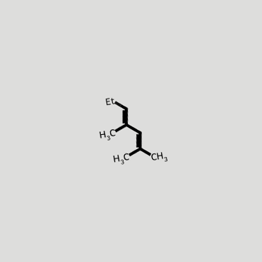 [CH2]C/C=C(\C)C=C(C)C